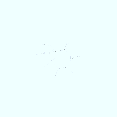 C/C=C/C(=O)N(C)C(C)C(C)C(C)(C)NC